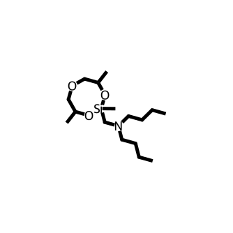 CCCCN(CCCC)C[Si]1(C)OC(C)COCC(C)O1